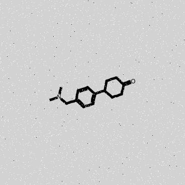 CN(C)Cc1ccc(C2CCC(=O)CC2)cc1